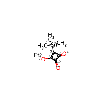 CCOc1[c]([Sn]([CH3])([CH3])[CH3])c(=O)c1=O